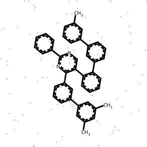 Cc1cccc(-c2cccc(-c3ccccc3-c3cnc(-c4ccccc4)nc3-c3cccc(-c4cc(C)cc(C)c4)c3)c2)c1